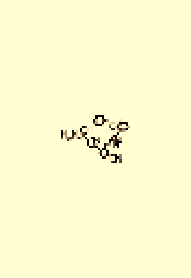 Cn1nc(-c2ccccc2OCc2ccccc2)cc1Oc1cc(C#N)ccc1-c1ccc(C(O)CN)cn1